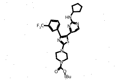 CC(C)(C)OC(=O)N1CCN(c2nc(-c3cccc(C(F)(F)F)c3)c(-c3ccnc(NC4CCCC4)n3)s2)CC1